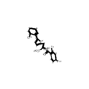 O=C(O)/C(=C\c1ccc(-c2ccccc2Cl)s1)NC(=O)c1ccc(F)cc1F